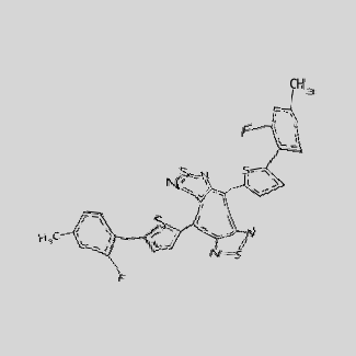 Cc1ccc(-c2ccc(-c3c4c(c(-c5ccc(-c6ccc(C)cc6F)s5)c5nsnc35)N=S=N4)s2)c(F)c1